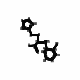 C=C(C)/C(CCc1nccs1)=N\c1ccccc1C